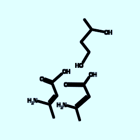 CC(N)=CC(=O)O.CC(N)=CC(=O)O.CC(O)CCO